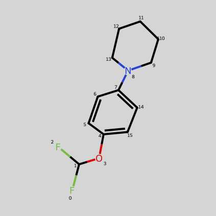 FC(F)Oc1ccc(N2C[CH]CCC2)cc1